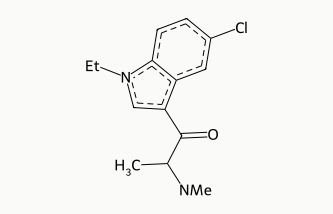 CCn1cc(C(=O)C(C)NC)c2cc(Cl)ccc21